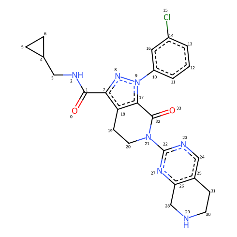 O=C(NCC1CC1)c1nn(-c2cccc(Cl)c2)c2c1CCN(c1ncc3c(n1)CNCC3)C2=O